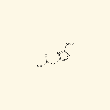 COC(=O)Cc1csc(NC(C)=O)n1